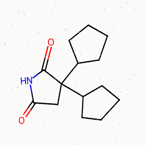 O=C1CC(C2CCCC2)(C2CCCC2)C(=O)N1